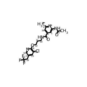 CC(=O)Nc1cc(C(=O)NCCCOc2ncc(CC(F)(F)F)cc2Cl)cc(C)n1